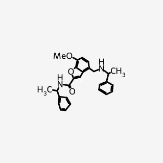 COc1ccc(CNC(C)c2ccccc2)c2cc(C(=O)NC(C)c3ccccc3)oc12